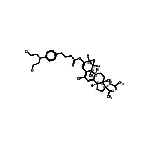 CC(=O)O[C@]1(C(C)=O)CC[C@H]2C3=CC(Cl)=C4C=C(OC(=O)CCCc5ccc(N(CCCl)CCCl)cc5)[C@@H]5C[C@@H]5[C@]4(C)[C@H]3CC[C@@]21C